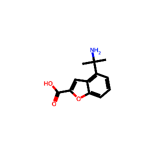 CC(C)(N)c1cccc2oc(C(=O)O)cc12